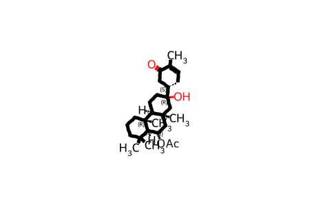 CC(=O)O[C@@H]1C[C@@]2(C)C[C@@](O)([C@H]3CC=C(C)C(=O)C3)CC[C@@H]2[C@@]2(C)CCCC(C)(C)[C@H]12